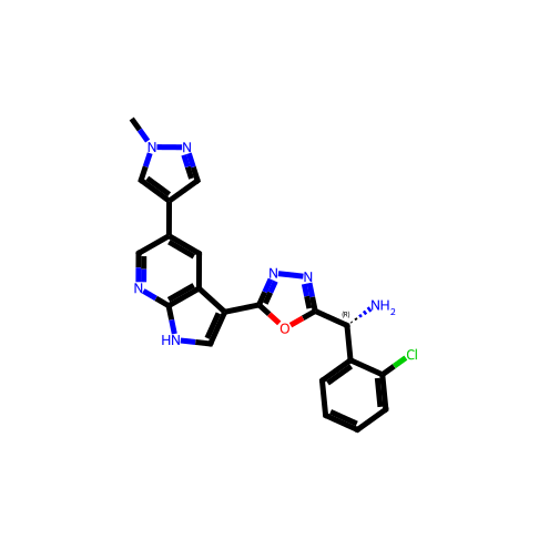 Cn1cc(-c2cnc3[nH]cc(-c4nnc([C@H](N)c5ccccc5Cl)o4)c3c2)cn1